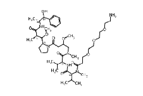 COC(CC(=O)N1CCC[C@H]1C(OC)[C@@H](C)C(=O)N[C@H](C)[C@@H](O)c1ccccc1)CN(C)C(=O)[C@@H](NC(=O)[C@H](C(C)C)N(C)C(=O)CCOCCOCCOCCN)C(C)C